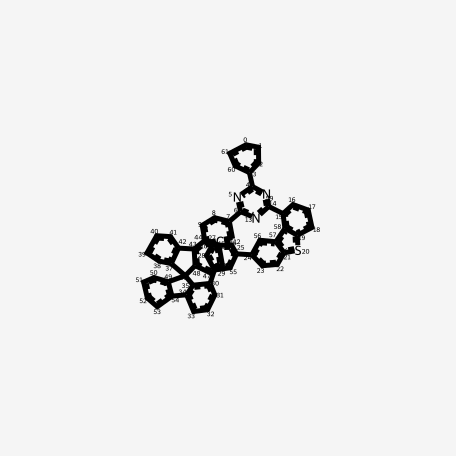 c1ccc(-c2nc(-c3ccccc3)nc(-c3cccc4sc5ccc(-c6cccc(-c7cccc8c7C7(c9ccccc9-c9ccccc97)c7ccccc7-8)c6)cc5c34)n2)cc1